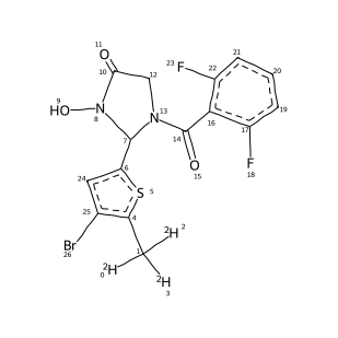 [2H]C([2H])([2H])c1sc(C2N(O)C(=O)CN2C(=O)c2c(F)cccc2F)cc1Br